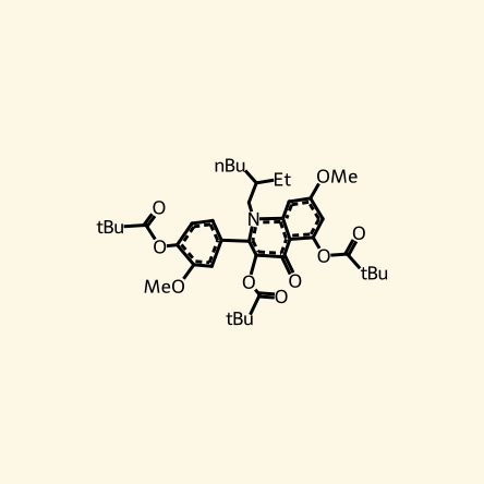 CCCCC(CC)Cn1c(-c2ccc(OC(=O)C(C)(C)C)c(OC)c2)c(OC(=O)C(C)(C)C)c(=O)c2c(OC(=O)C(C)(C)C)cc(OC)cc21